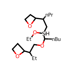 CCCCC(OCC(CC)C1CCO1)[SiH](CC(CCC)C1CCO1)OCC